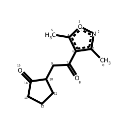 Cc1noc(C)c1C(=O)CC1CCCC1=O